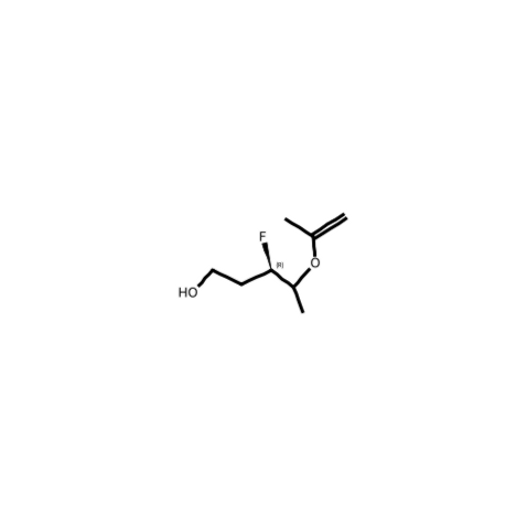 C=C(C)OC(C)[C@H](F)CCO